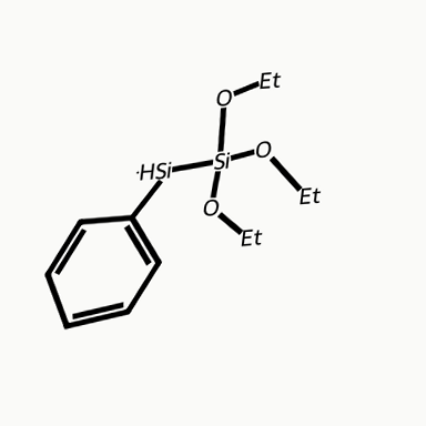 CCO[Si](OCC)(OCC)[SiH]c1ccccc1